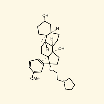 COc1cccc([C@@]2(OCCN3CCCC3)CC[C@]3(O)[C@@H]4CC[C@@H]5C[C@@H](O)CC[C@]5(C)[C@H]4CC[C@]23C)c1